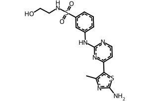 Cc1nc(N)sc1-c1ccnc(Nc2cccc(S(=O)(=O)NCCO)c2)n1